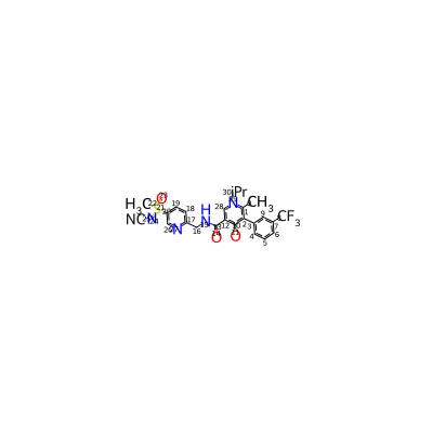 Cc1c(-c2cccc(C(F)(F)F)c2)c(=O)c(C(=O)NCc2ccc(S(C)(=O)=NC#N)cn2)cn1C(C)C